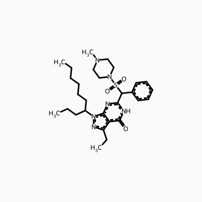 CCCCCCC(CCC)n1nc(CC)c2c(=O)[nH]c(C(c3ccccc3)S(=O)(=O)N3CCN(C)CC3)nc21